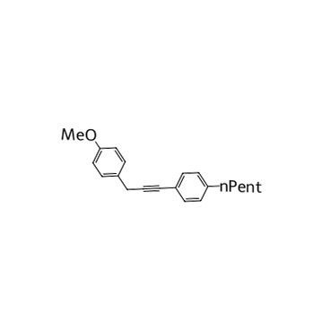 CCCCCc1ccc(C#CCc2ccc(OC)cc2)cc1